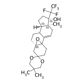 CC1(C)COC2(CCC34O[C@]3(CCC3C4=CC[C@@]4(C)[C@H]3CC[C@@]4(O)C(F)(F)C(F)(F)F)C2)OC1